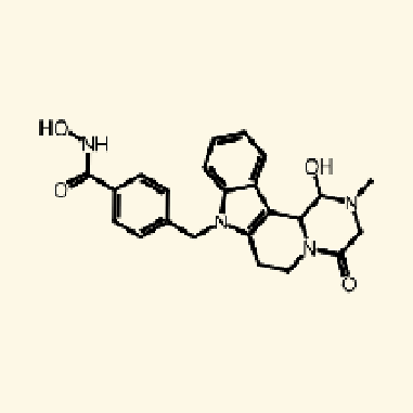 CN1CC(=O)N2CCc3c(c4ccccc4n3Cc3ccc(C(=O)NO)cc3)C2C1O